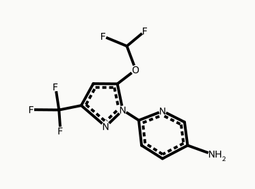 Nc1ccc(-n2nc(C(F)(F)F)cc2OC(F)F)nc1